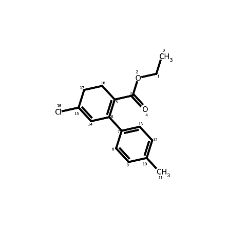 CCOC(=O)C1=C(c2ccc(C)cc2)C=C(Cl)CC1